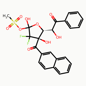 CS(=O)(=O)OC1(O)O[C@H](C(O)C(=O)c2ccccc2)[C@](O)(C(=O)c2ccc3ccccc3c2)C1(F)F